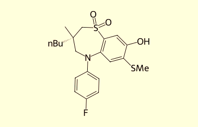 CCCC[C@@]1(C)CN(c2ccc(F)cc2)c2cc(SC)c(O)cc2S(=O)(=O)C1